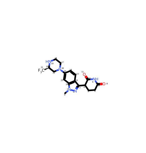 Cn1nc(C2CCC(=O)NC2=O)c2ccc(N3CCN[C@H](C(F)(F)F)C3)cc21